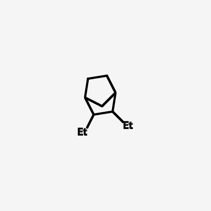 CCC1C2CCC(C2)C1CC